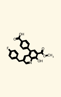 COC(=O)c1cc(-c2ccc(C(=O)O)cc2)c2cc(Cc3ccc(F)cc3)cnc2c1O